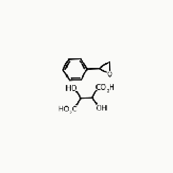 O=C(O)C(O)C(O)C(=O)O.c1ccc(C2CO2)cc1